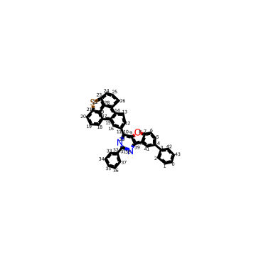 c1ccc(-c2ccc3oc4c(-c5ccc6c(c5)c5cccc7sc8cccc6c8c75)nc(-c5ccccc5)nc4c3c2)cc1